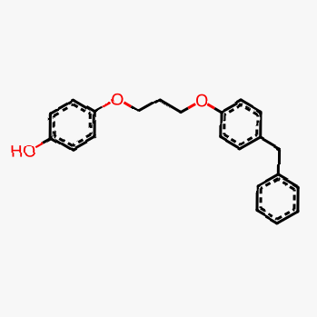 Oc1ccc(OCCCOc2ccc(Cc3ccccc3)cc2)cc1